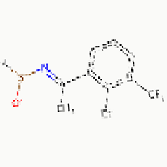 CCc1c(/C(C)=N/[S+]([O-])C(C)(C)C)cccc1C(F)(F)F